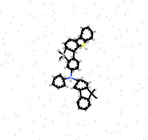 CC1(C)c2ccccc2-c2cc(N(c3ccccc3)c3ccc4c(c3)[Si](C)(C)c3ccc5c(sc6ccccc65)c3-4)ccc21